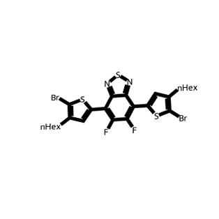 CCCCCCc1cc(-c2c(F)c(F)c(-c3cc(CCCCCC)c(Br)s3)c3nsnc23)sc1Br